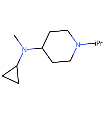 CC(C)N1CCC(N(C)C2CC2)CC1